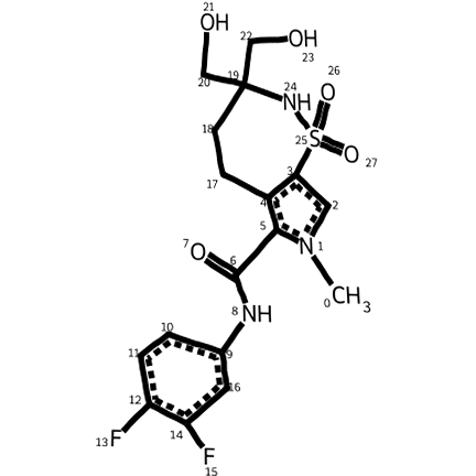 Cn1cc2c(c1C(=O)Nc1ccc(F)c(F)c1)CCC(CO)(CO)NS2(=O)=O